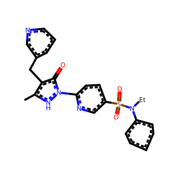 CCN(c1ccccc1)S(=O)(=O)c1ccc(-n2[nH]c(C)c(Cc3cccnc3)c2=O)nc1